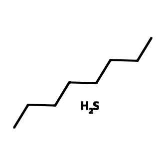 CCCCCCCC.S